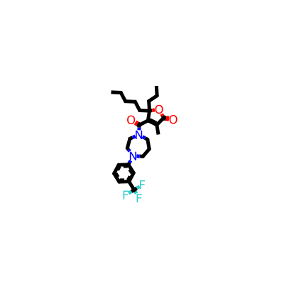 CCCCCC1(CCC)OC(=O)C(C)=C1C(=O)N1CCCN(c2cccc(C(F)(F)F)c2)CC1